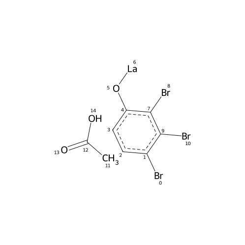 Brc1ccc([O][La])c(Br)c1Br.CC(=O)O